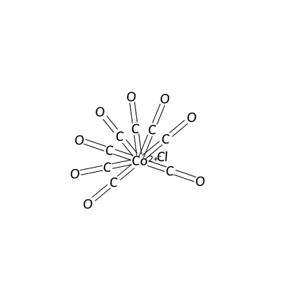 O=[C]=[Co+2]([Cl])(=[C]=O)(=[C]=O)(=[C]=O)(=[C]=O)(=[C]=O)(=[C]=O)=[C]=O